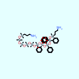 C[Si](C)(CCCN)O[Si](C)(C)O[Si](C)(C)O[Si](C)(C)O[Si](C)(C)O[Si](C)(C)O[Si](O[Si](O[Si](O[Si](C)(C)CCCN)(c1ccccc1)c1ccccc1)(c1ccccc1)c1ccccc1)(c1ccccc1)c1ccccc1